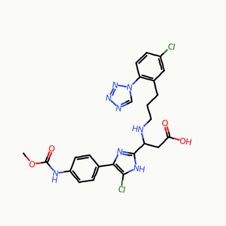 COC(=O)Nc1ccc(-c2nc(C(CC(=O)O)NCCCc3cc(Cl)ccc3-n3cnnn3)[nH]c2Cl)cc1